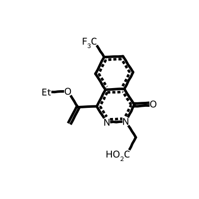 C=C(OCC)c1nn(CC(=O)O)c(=O)c2ccc(C(F)(F)F)cc12